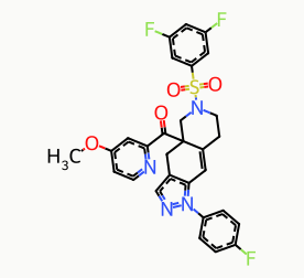 COc1ccnc(C(=O)C23Cc4cnn(-c5ccc(F)cc5)c4C=C2CCN(S(=O)(=O)c2cc(F)cc(F)c2)C3)c1